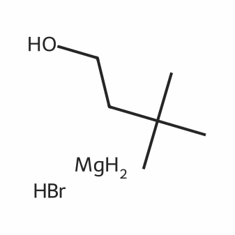 Br.CC(C)(C)CCO.[MgH2]